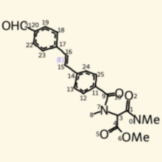 CNC(=O)C(C(=O)OC)N(C)C(=O)c1ccc(/C=C/c2ccc(C=O)cc2)cc1